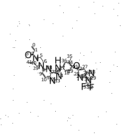 C=CC(=O)N1CCN(c2ccc3ncnc(Nc4ccc(Oc5cnc6c(c5)ncn6C(F)F)c(C)c4)c3n2)C[C@H]1C